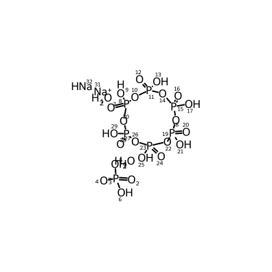 O.O.O=P([O-])(O)O.O=P1(O)OP(=O)(O)OP(=O)(O)OP(=O)(O)OP(=O)(O)OP(=O)(O)O1.[Na+].[NaH]